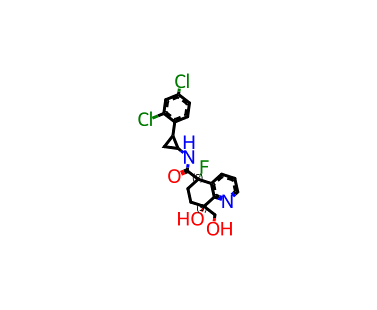 O=C(NC1CC1c1ccc(Cl)cc1Cl)[C@]1(F)CC[C@@](O)(CO)c2ncccc21